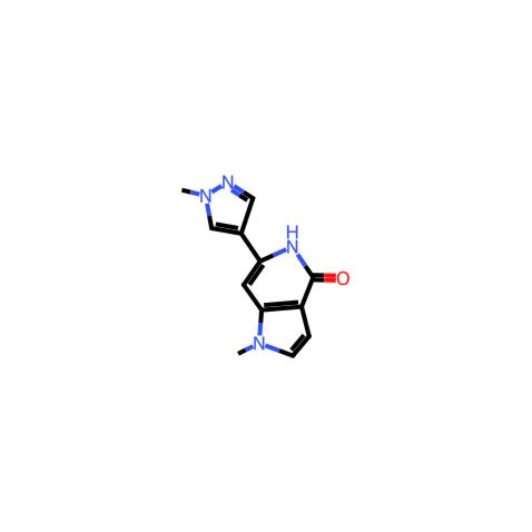 Cn1cc(-c2cc3c(ccn3C)c(=O)[nH]2)cn1